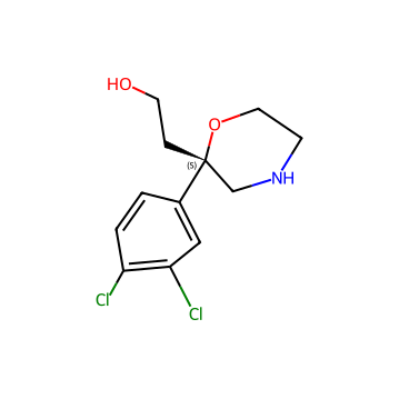 OCC[C@]1(c2ccc(Cl)c(Cl)c2)CNCCO1